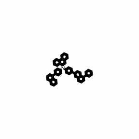 c1ccc(-c2cccc3cc(-c4ccc(N(c5ccc(-c6cccc7ccccc67)cc5)c5cc6ccccc6c6ccccc56)cc4)ccc23)cc1